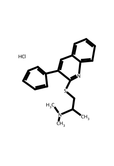 CC(CSc1nc2ccccc2cc1-c1ccccc1)N(C)C.Cl